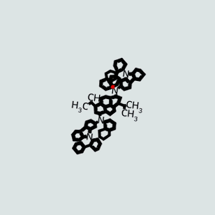 CC(C)c1cc(N(c2ccc3c4ccccc4n(-c4ccccc4-c4ccccc4)c3c2)c2cccc3c2CCCC3)c2ccc3c(C(C)C)cc(N(c4ccc5c6ccccc6n(-c6ccccc6-c6ccccc6)c5c4)c4cccc5c4CCCC5)c4ccc1c2c34